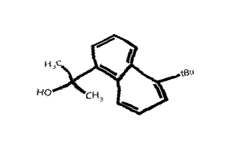 CC(C)(C)c1cccc2c(C(C)(C)O)cccc12